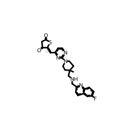 CC1(CNCc2ccc3cc(F)ccc3n2)CCN(c2nccc(/C=C3\SC(=O)CC3=O)n2)CC1